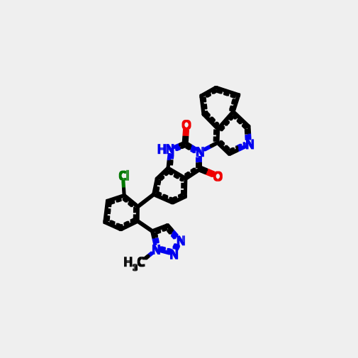 Cn1nncc1-c1cccc(Cl)c1-c1ccc2c(=O)n(-c3cncc4ccccc34)c(=O)[nH]c2c1